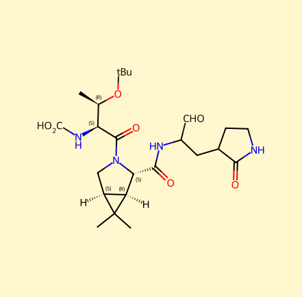 C[C@@H](OC(C)(C)C)[C@H](NC(=O)O)C(=O)N1C[C@H]2[C@@H]([C@H]1C(=O)NC(C=O)CC1CCNC1=O)C2(C)C